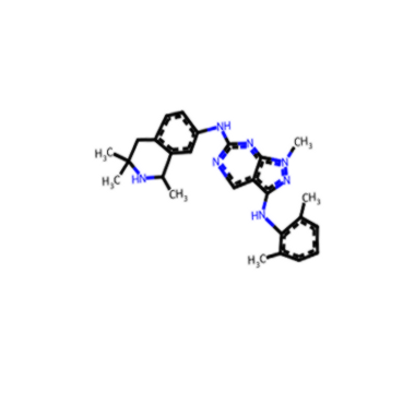 Cc1cccc(C)c1Nc1nn(C)c2nc(Nc3ccc4c(c3)C(C)NC(C)(C)C4)ncc12